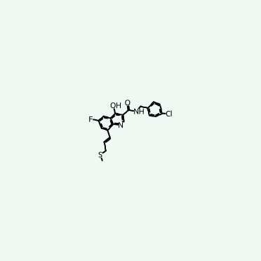 CSCC=Cc1cc(F)cc2c(O)c(C(=O)NCc3ccc(Cl)cc3)cnc12